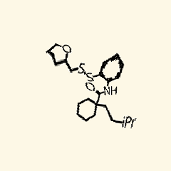 CC(C)CCC1(C(=O)Nc2ccccc2SSCC2CCCO2)CCCCC1